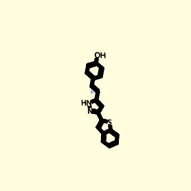 Oc1ccc(/C=C/c2cc(-c3cc4ccccc4s3)n[nH]2)cc1